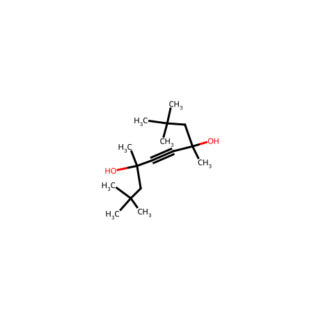 CC(C)(C)CC(C)(O)C#CC(C)(O)CC(C)(C)C